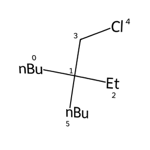 CCCCC(CC)(CCl)CCCC